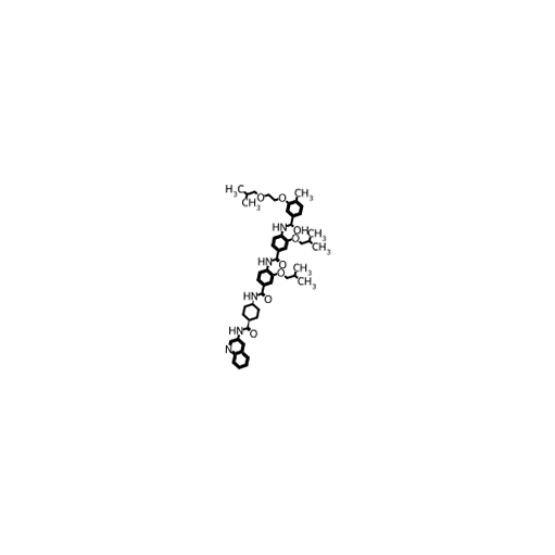 Cc1ccc(C(O)Nc2ccc(C(=O)Nc3ccc(C(=O)N[C@H]4CC[C@H](C(=O)Nc5cnc6ccccc6c5)CC4)cc3OCC(C)C)cc2OCC(C)C)cc1OCCOCC(C)C